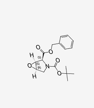 CC(C)(C)OC(=O)N1C[C@H]2O[C@H]2[C@H]1C(=O)OCc1ccccc1